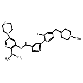 CN(C)c1ncc(N2CCOCC2)cc1SNc1ccnc(-c2ccc(CN3CCN(C(C)(C)C)CC3)cc2F)c1